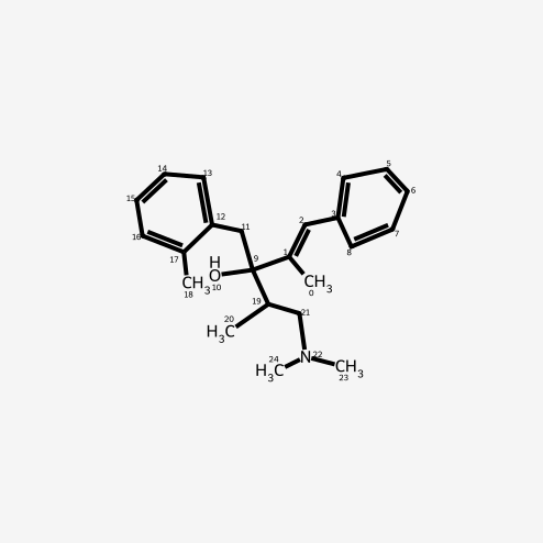 CC(=Cc1ccccc1)C(O)(Cc1ccccc1C)C(C)CN(C)C